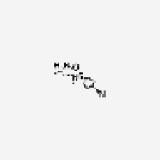 CCCC(C(N)=O)N(C)Sc1ccc(C#N)cc1